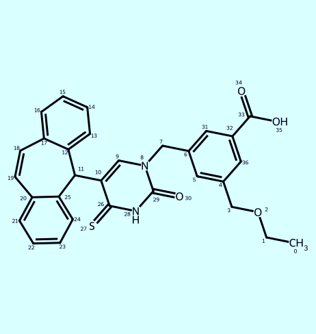 CCOCc1cc(Cn2cc(C3c4ccccc4C=Cc4ccccc43)c(=S)[nH]c2=O)cc(C(=O)O)c1